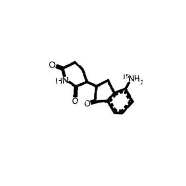 [15NH2]c1cccc2c1CC(C1CCC(=O)NC1=O)C2=O